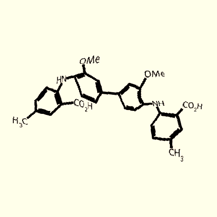 COc1cc(-c2ccc(Nc3ccc(C)cc3C(=O)O)c(OC)c2)ccc1Nc1ccc(C)cc1C(=O)O